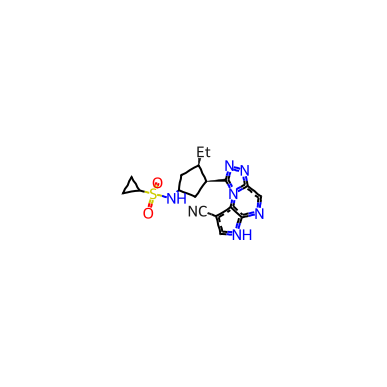 CC[C@@H]1C[C@H](NS(=O)(=O)C2CC2)C[C@@H]1c1nnc2cnc3[nH]cc(C#N)c3n12